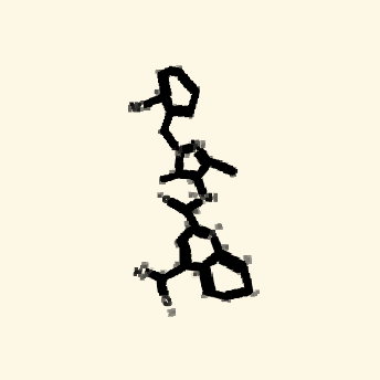 Cc1nn(Cc2ccccc2C#N)c(C)c1NC(=O)c1cc(C(N)=O)c2ccccc2n1